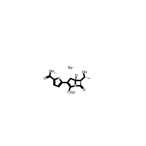 C[C@@H](O)[C@H]1C(=O)N2C(C(=O)[O-])=C(c3ccc(C(N)=O)s3)C[C@H]12.[Na+]